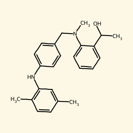 Cc1ccc(C)c(Nc2ccc(CN(C)c3ccccc3C(C)O)cc2)c1